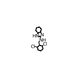 Clc1cccc(Cl)c1CNc1nc2ccccc2[nH]1